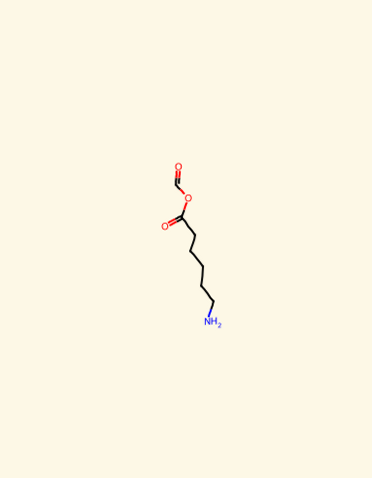 NCCCCCC(=O)OC=O